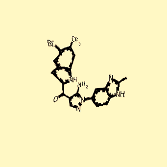 Cc1nc2cc(-n3ncc(C(=O)c4cc5cc(Br)c(C(F)(F)F)cc5[nH]4)c3N)ccc2[nH]1